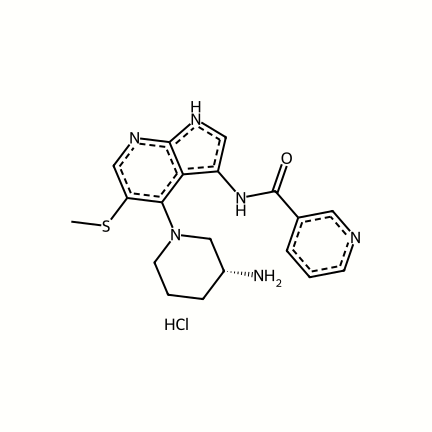 CSc1cnc2[nH]cc(NC(=O)c3cccnc3)c2c1N1CCC[C@@H](N)C1.Cl